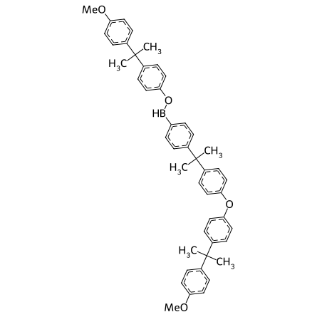 COc1ccc(C(C)(C)c2ccc(OBc3ccc(C(C)(C)c4ccc(Oc5ccc(C(C)(C)c6ccc(OC)cc6)cc5)cc4)cc3)cc2)cc1